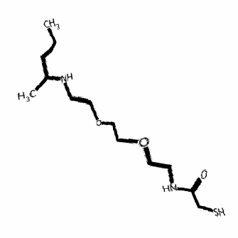 CCCC(C)NCCOCCOCCNC(=O)CS